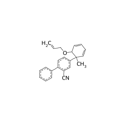 C=CCOC1C=CC=CC1(C)c1ccc(-c2ccccc2)c(C#N)c1